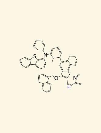 C=NC(=C)/C=C\C1=C(OCc2cccc3ccccc23)c2cc(C3C=CC=C(N(c4cccc5c4sc4ccccc45)C4C=CC=CC4)C3C)c3c(c2C1)C=CCC3